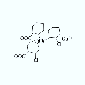 O=C([O-])C1CCCCC1Cl.O=C([O-])C1CCCCC1Cl.O=C([O-])C1CCCCC1Cl.[Ga+3]